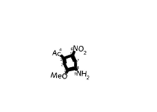 COc1cc(C(C)=O)c([N+](=O)[O-])cc1N